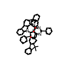 CC1(C)c2ccccc2-c2ccc(-c3nc(-c4ccccc4)nc(-n4c5ccccc5c5ccc6c7ccccc7n(-c7c(-c8ccccc8)cccc7-c7ccccc7)c6c54)n3)cc21